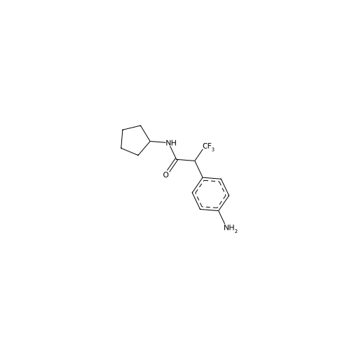 Nc1ccc(C(C(=O)NC2CCCC2)C(F)(F)F)cc1